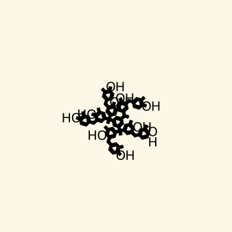 Cc1cc(Cc2cc(C(C)c3cc(C(C)(c4ccc(O)c(Cc5ccc(O)c(C)c5)c4)c4cc(C)c(O)c(Cc5ccc(O)c(C)c5)c4)cc(C(C)(c4cc(C)c(O)c(Cc5ccc(O)c(C)c5)c4)c4cc(C)c(O)c(Cc5ccc(O)c(C)c5)c4)c3)ccc2O)ccc1O